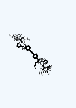 COC(=O)N[C@H](C(=O)N1CCCC1c1nc2cc(C#Cc3ccc(-c4[nH]c([C@@H]5CCCN5C(=O)[C@@H](NC(=O)O)C(C)C)nc4CC#N)cc3)ccc2[nH]1)C(C)C